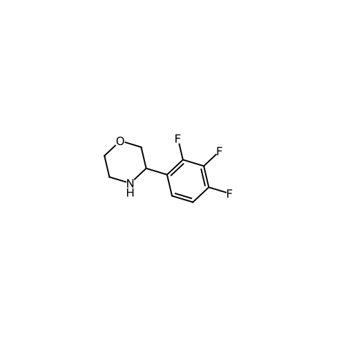 Fc1ccc(C2COCCN2)c(F)c1F